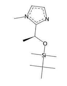 C[C@H](O[Si](C)(C)C(C)(C)C)c1nccn1C